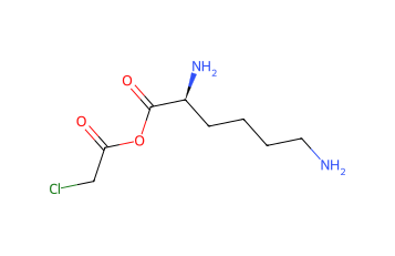 NCCCC[C@H](N)C(=O)OC(=O)CCl